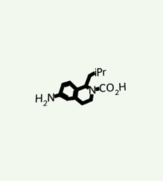 CC(C)CC1c2ccc(N)cc2CCN1C(=O)O